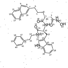 O=C(C[C@@H](CCCc1ccc2ccccc2c1)C(=O)N[C@@H](Cc1c[nH]c2ccccc12)C(=O)NCCc1ccccc1)NO